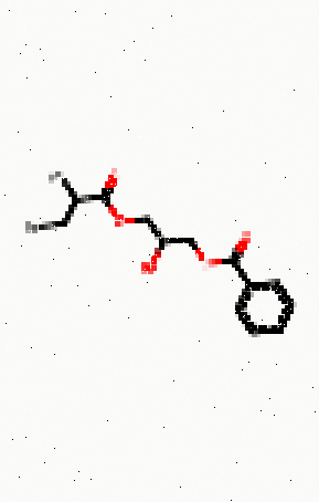 CC(C)CC(C(=O)OCC(O)COC(=O)c1ccccc1)C(C)C